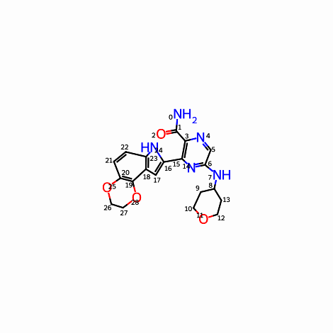 NC(=O)c1ncc(NC2CCOCC2)nc1-c1cc2c3c(ccc2[nH]1)OCCO3